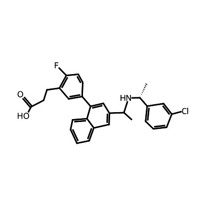 CC(N[C@H](C)c1cccc(Cl)c1)c1cc(-c2ccc(F)c(CCC(=O)O)c2)c2ccccc2c1